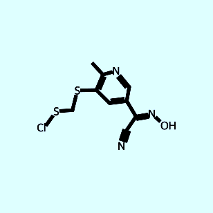 Cc1ncc(/C(C#N)=N/O)cc1SCSCl